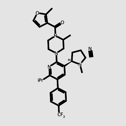 C#N.Cc1occc1C(=O)N1CCN(c2nc(C(C)C)c(-c3ccc(C(F)(F)F)cc3)cc2[C@H]2CCCN2C)CC1C